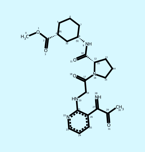 COC(=O)[C@@H]1CCC[C@H](NC(=O)[C@@H]2CCCN2C(=O)CNc2ncccc2C(=N)C(C)=O)C1